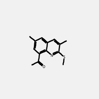 CSc1nc2c(C(C)=O)cc(C)cc2cc1C